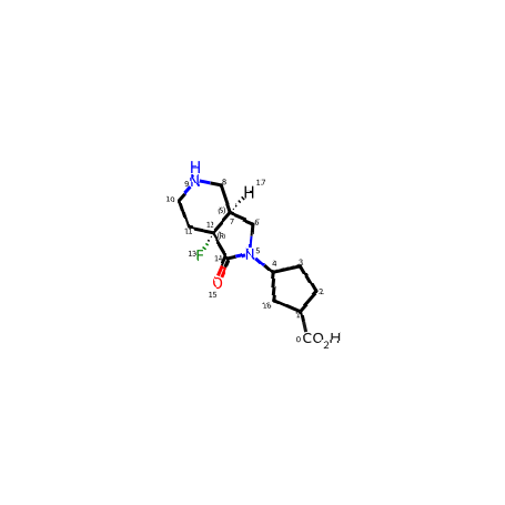 O=C(O)C1CCC(N2C[C@@H]3CNCC[C@]3(F)C2=O)C1